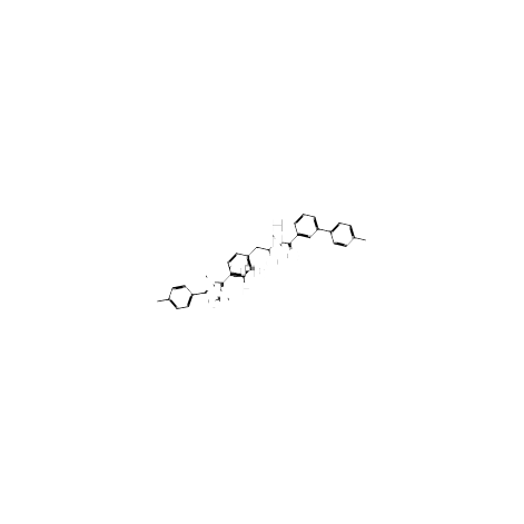 Cc1ccc(-c2cccc(C(=O)NC(Cc3ccc(-c4noc(-c5ccc(C)cc5)n4)c(F)c3)OC=O)c2)cc1